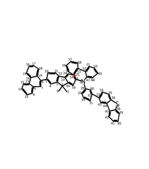 CC1(C)c2cc(-c3cc4ccccc4c4ccccc34)ccc2-c2ccc(N(c3cccc(-c4ccc5sc6ccccc6c5c4)c3)c3ccccc3-c3ccccc3)cc21